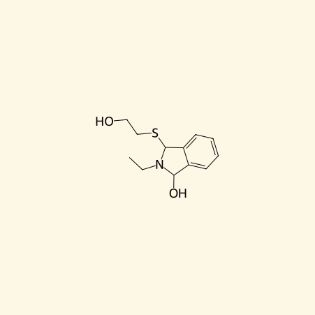 CCN1C(O)c2ccccc2C1SCCO